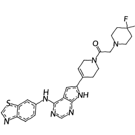 O=C(CN1CCC(F)(F)CC1)N1CC=C(c2cc3c(Nc4ccc5ncsc5c4)ncnc3[nH]2)CC1